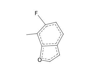 Cc1c(F)ccc2ccoc12